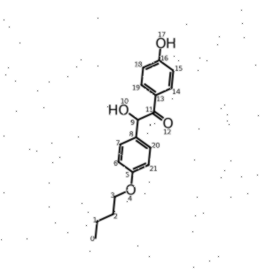 CCCCOc1ccc(C(O)C(=O)c2ccc(O)cc2)cc1